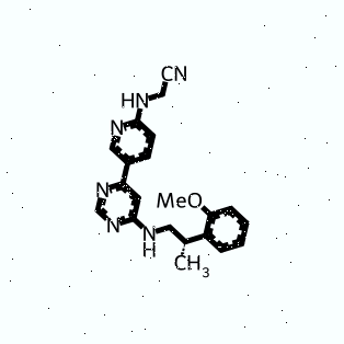 COc1ccccc1[C@H](C)CNc1cc(-c2ccc(NCC#N)nc2)ncn1